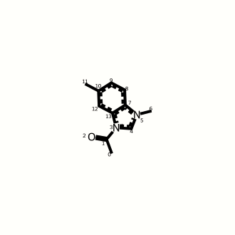 CC(=O)[n+]1cn(C)c2ccc(C)cc21